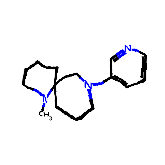 CN1CCCCC12CCCN(c1cccnc1)C2